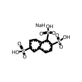 O=S(=O)(O)c1ccc2c(S(=O)(=O)O)c(S(=O)(=O)O)ccc2c1.[NaH]